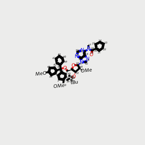 COc1ccc(C(OC[C@H]2O[C@@H](n3cnc4c(N(C)C(=O)c5ccccc5)ncnc43)[C@H](OC)[C@@H]2O[Si](C)(C)C(C)(C)C)(c2ccccc2)c2ccc(OC)cc2)cc1